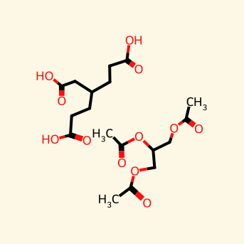 CC(=O)OCC(COC(C)=O)OC(C)=O.O=C(O)CCC(CCC(=O)O)CC(=O)O